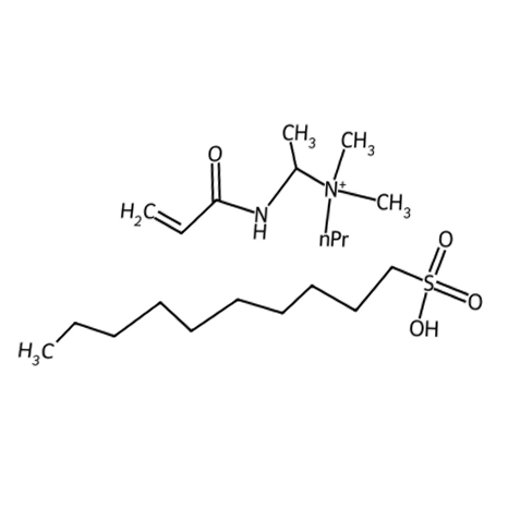 C=CC(=O)NC(C)[N+](C)(C)CCC.CCCCCCCCCCS(=O)(=O)O